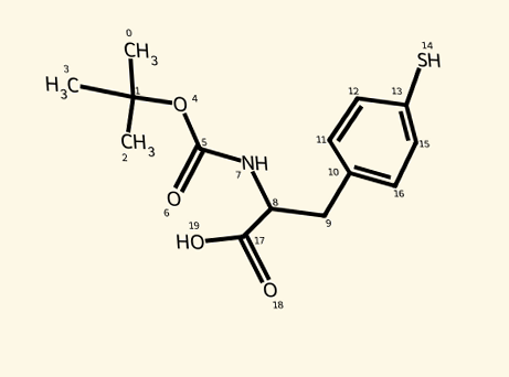 CC(C)(C)OC(=O)NC(Cc1ccc(S)cc1)C(=O)O